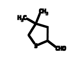 CC1(C)CSC(C=O)C1